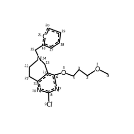 COCCCOc1nc(Cl)nc2c1CN(Cc1ccccc1)CC2